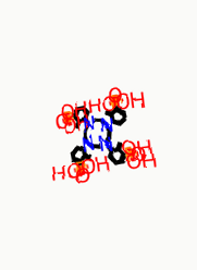 C=C1C(P(=O)(O)O)=CC=CC1N1CCN(C2C=CC=C(P(=O)(O)O)C2=C)CCN(C2C=CC=C(P(=O)(O)O)C2=C)CCN(C2C=CC=C(P(=O)(O)O)C2=C)CC1